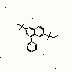 CCC(C)(C)c1cc(-c2ccccc2)c2cc(C(C)(C)CC)ccc2c1